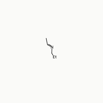 CC=NCCC